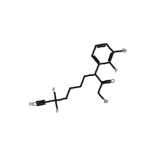 C#CC(F)(F)CCCCC(C(=O)CBr)c1cccc(Br)c1F